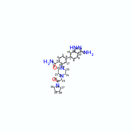 NC(=O)c1ccc(-c2ccc3c(N)n[nH]c3c2)cc1N1CCN(CC(=O)N2CCCC2)CC1